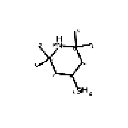 CC1(C)CC([SiH3])CC(C)(C)N1